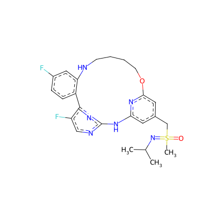 CC(C)N=S(C)(=O)Cc1cc2nc(c1)OCCCCNc1cc(F)ccc1-c1nc(ncc1F)N2